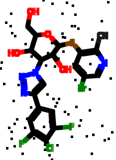 N#Cc1ncc(Br)cc1SC1OC(CO)C(O)C(n2cc(-c3cc(F)c(Cl)c(F)c3)nn2)C1O